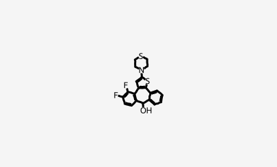 OC1c2ccccc2-c2sc(N3CCSCC3)cc2-c2c1ccc(F)c2F